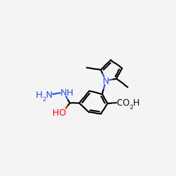 Cc1ccc(C)n1-c1cc(C(O)NN)ccc1C(=O)O